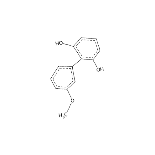 COc1cccc(-c2c(O)cccc2O)c1